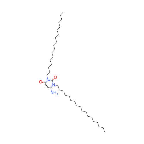 CCCCCCCCCCCCCCCCCCn1c(N)cc(=O)n(CCCCCCCCCCCCCCCCCC)c1=O